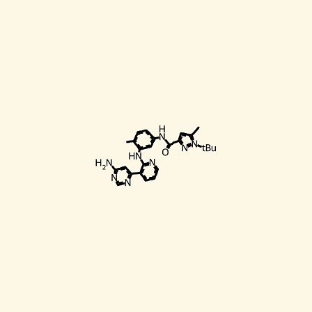 Cc1ccc(NC(=O)c2cc(C)n(C(C)(C)C)n2)cc1Nc1ncccc1-c1cc(N)ncn1